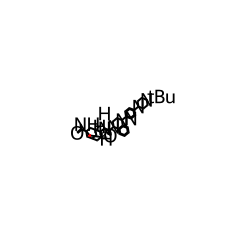 CC(C)(C)N1CCN(c2ccc(N3CCN(C(=O)NC4[C@@H]5CC6C[C@H]4CC(C(N)=O)(C6)C5)c4ccccc43)nc2)CC1